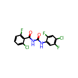 O=C(NC(=O)c1c(F)cccc1Cl)Nc1cc(F)c(Cl)cc1F